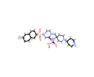 COC(=O)NC1(CN2CCN(S(=O)(=O)c3ccc4cc(Cl)ccc4c3)CC2=O)CCN(c2ccncc2)CC1